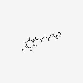 Cc1ccc(OCCCOC=O)cc1